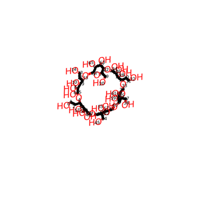 OCCC1OC(O)C(O)C(O)C(CCO)OC2OC(CO)C(OC(O)C(O)C(O)C(CCO)OC3OC(CO)C(OC4OC(CO)C(OC(O)C(O)C1O)C(O)C4O)C(O)C3O)C(O)C2O